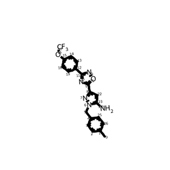 Cc1ccc(Cn2nc(-c3nc(-c4ccc(OC(F)(F)F)cc4)no3)cc2N)cc1